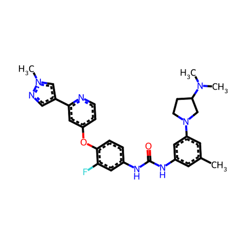 Cc1cc(NC(=O)Nc2ccc(Oc3ccnc(-c4cnn(C)c4)c3)c(F)c2)cc(N2CCC(N(C)C)C2)c1